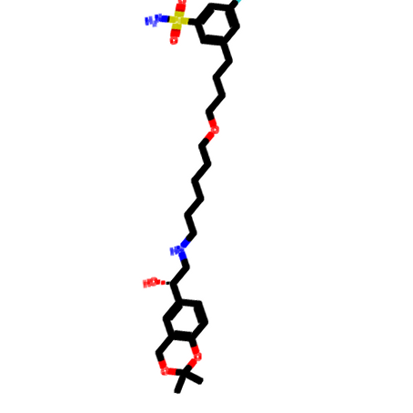 CC1(C)OCc2cc([C@H](O)CNCCCCCCOCCCCc3cc(F)cc(S(N)(=O)=O)c3)ccc2O1